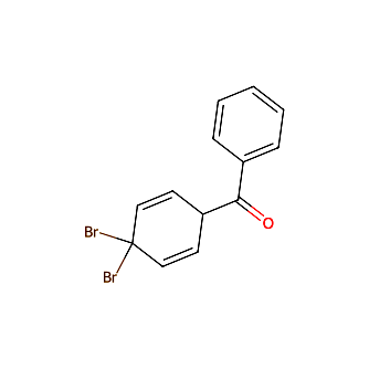 O=C(c1ccccc1)C1C=CC(Br)(Br)C=C1